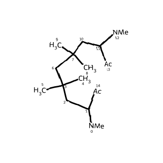 CNC(CC(C)(C)CC(C)(C)CC(NC)C(C)=O)C(C)=O